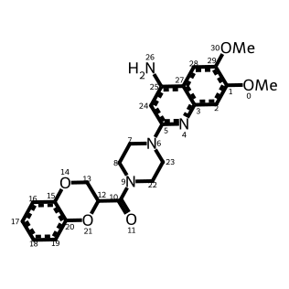 COc1cc2nc(N3CCN(C(=O)C4COc5ccccc5O4)CC3)cc(N)c2cc1OC